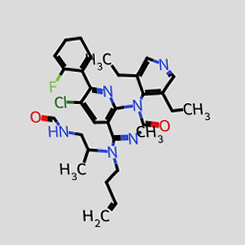 C=CCCN(/C(=N/C)c1cc(Cl)c(C2=CCCC=C2F)nc1N(C=O)c1c(CC)cncc1CC)C(C)CNC=O